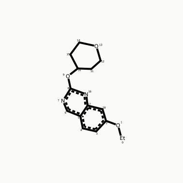 CCOc1ccc2cnc(OC3CCOCC3)nc2c1